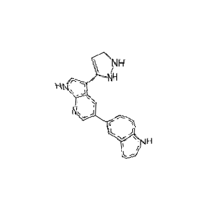 C1=C(c2c[nH]c3ncc(-c4ccc5[nH]ccc5c4)cc23)NNC1